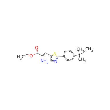 CCOC(=O)/C(N)=C/c1cnc(-c2ccc(C(C)(C)CC)cc2)s1